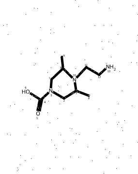 CC1CN(C(=O)O)CC(C)N1CCN